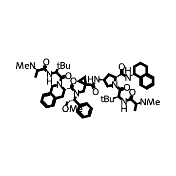 CN[C@@H](C)C(=O)NC(C(=O)N1Cc2ccccc2C[C@H]1C(=O)N(CC1(C(=O)N[C@H]2C[C@@H](C(=O)N[C@@H]3CCCc4ccccc43)N(C(=O)[C@@H](NC(=O)[C@H](C)NC)C(C)(C)C)C2)CC1)[C@@H](COC)c1ccccc1)C(C)(C)C